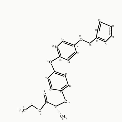 CCOC(=O)[C@@H](C)Oc1ccc(Oc2ccc(OCc3ccccc3)cn2)cc1